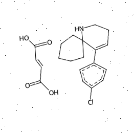 Clc1ccc(C2=CCCNC23CCCCC3)cc1.O=C(O)C=CC(=O)O